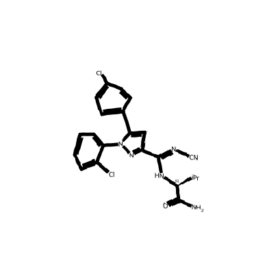 CC(C)[C@H](NC(=NC#N)c1cc(-c2ccc(Cl)cc2)n(-c2ccccc2Cl)n1)C(N)=O